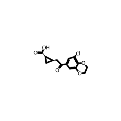 O=C(C[C@H]1C[C@@H]1C(=O)O)c1cc(Cl)c2c(c1)OCCO2